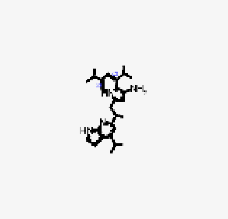 C/C=C(\C=C(/c1[nH]c(CC(C)c2cc(C(C)C)c3cc[nH]c3n2)cc1N)C(C)C)C(C)C